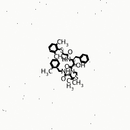 Cc1ccccc1CNC(=O)[C@H]1N(C(=O)[C@@H](O)[C@H](Cc2ccccc2)NC(=O)CSc2c(C)cccc2C)CSC1(C)C